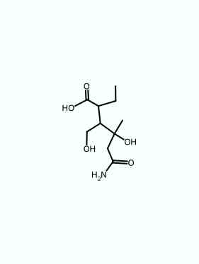 CCC(C(=O)O)C(CO)C(C)(O)CC(N)=O